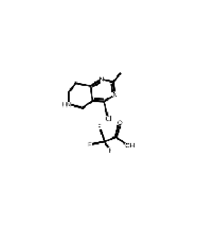 Cc1nc(Cl)c2c(n1)CCNC2.O=C(O)C(F)(F)F